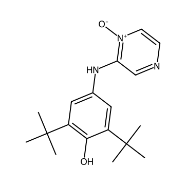 CC(C)(C)c1cc(Nc2cncc[n+]2[O-])cc(C(C)(C)C)c1O